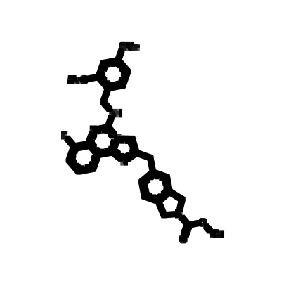 COc1ccc(CNc2nc3c(F)cccc3c3nc(Cc4ccc5c(c4)CN(C(=O)OC(C)(C)C)C5)cn23)c(OC)c1